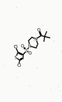 CC(C)(C)C(=O)N1CCN(S(=O)(=O)c2cc(Cl)sc2Cl)CC1